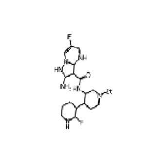 CCN1CCC(C2CCCNC2F)C(NC(=O)C2C(N)NN3C=C(F)CNC23)C1